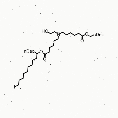 CCCCCCCCCCCOC(=O)CCCCCN(CCO)CCCCCC(=O)OC(CCCCCCCCCC)CCCCCCCCCI